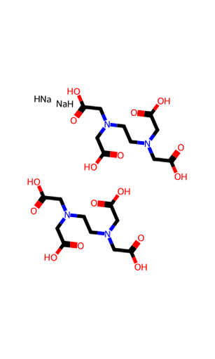 O=C(O)CN(CCN(CC(=O)O)CC(=O)O)CC(=O)O.O=C(O)CN(CCN(CC(=O)O)CC(=O)O)CC(=O)O.[NaH].[NaH]